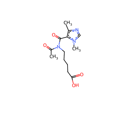 CC(=O)N(CCCCC(=O)O)C(=O)c1c(C)ncn1C